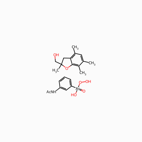 CC(=O)Nc1cccc([As](=O)(O)OO)c1.Cc1cc(C)c2c(c1C)OC(C)(CO)C2